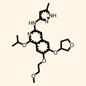 COCCOc1cc2c(OC(C)C)nc(Nc3cc(C)[nH]n3)cc2cc1OC1CCOC1